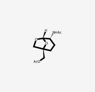 CC(=O)N[C@@H]1[CH][CH][C@]2(COC(C)=O)CO[C@H]1O2